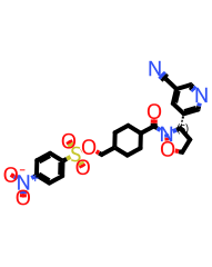 N#Cc1cncc([C@@H]2CCON2C(=O)C2CCC(COS(=O)(=O)c3ccc([N+](=O)[O-])cc3)CC2)c1